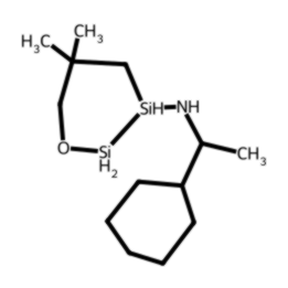 CC(N[SiH]1CC(C)(C)CO[SiH2]1)C1CCCCC1